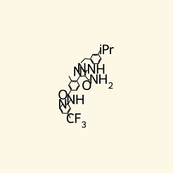 Cc1cc(C(=O)Nc2cc(C(F)(F)F)ccn2)ccc1-c1nn2c(c1C(N)=O)Nc1ccc(C(C)C)cc1CC2